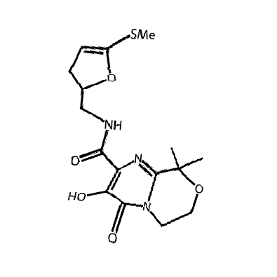 CSC1=CCC(CNC(=O)c2nc3n(c(=O)c2O)CCOC3(C)C)O1